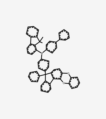 CC1(C)c2ccccc2-c2cccc(N(c3ccc(-c4ccccc4)cc3)c3ccc(C4(c5ccccc5)c5ccccc5-c5c4ccc4c5Oc5ccccc5O4)cc3)c21